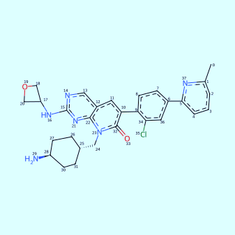 Cc1cccc(-c2ccc(-c3cc4cnc(NC5COC5)nc4n(C[C@H]4CC[C@H](N)CC4)c3=O)c(Cl)c2)n1